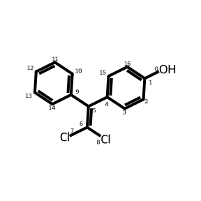 Oc1ccc(C(=C(Cl)Cl)c2ccccc2)cc1